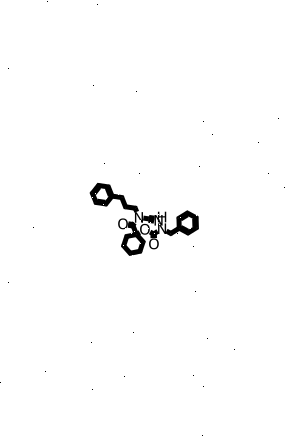 N#CN(CCCc1ccccc1)C(=O)C1(OC(=O)NCc2ccccc2)CCCCC1